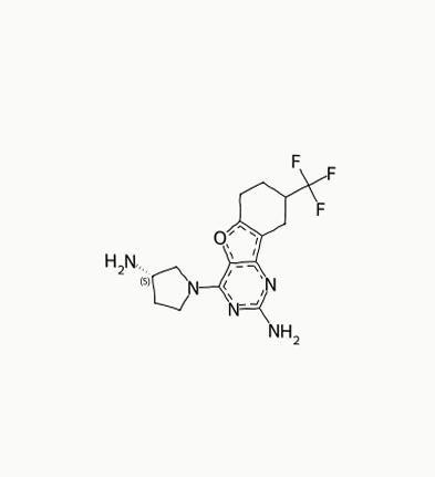 Nc1nc(N2CC[C@H](N)C2)c2oc3c(c2n1)CC(C(F)(F)F)CC3